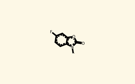 [CH2]n1c(=O)oc2cc(F)ccc21